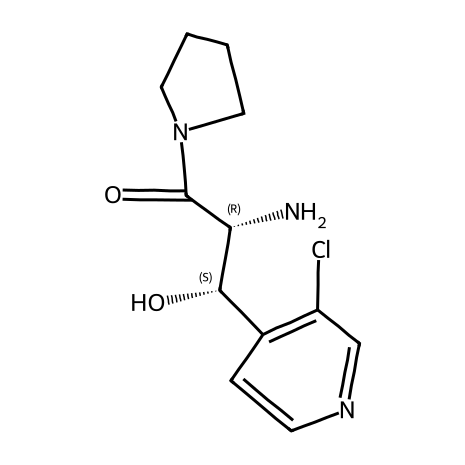 N[C@@H](C(=O)N1CCCC1)[C@@H](O)c1ccncc1Cl